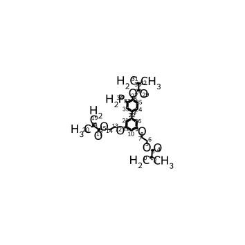 C=C(C)C(=O)OCCOc1cc(OCCOC(=O)C(=C)C)cc(-c2ccc(OC(=O)C(=C)C)c(P)c2)c1